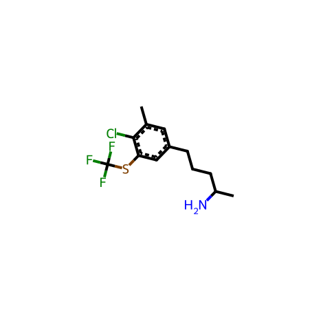 Cc1cc(CCCC(C)N)cc(SC(F)(F)F)c1Cl